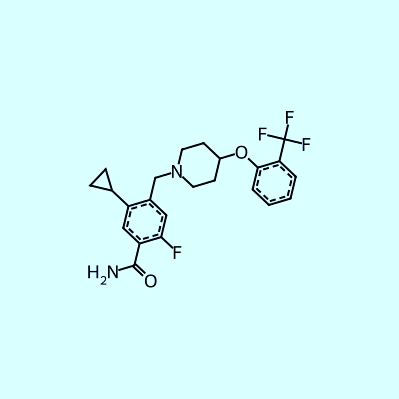 NC(=O)c1cc(C2CC2)c(CN2CCC(Oc3ccccc3C(F)(F)F)CC2)cc1F